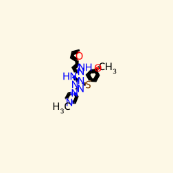 COc1ccc(Sc2nc(Nc3cc(-c4ccco4)[nH]n3)nc(N3CCN(C)CC3)n2)cc1